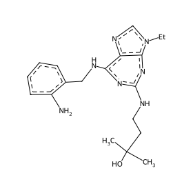 CCn1cnc2c(NCc3ccccc3N)nc(NCCC(C)(C)O)nc21